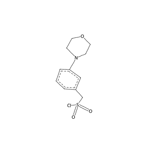 O=S(=O)(Cl)Cc1cccc(N2CCOCC2)c1